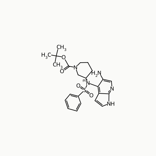 CC(C)(C)OC(=O)N1CCC[C@@H](N(c2c(N)cnc3[nH]ccc23)S(=O)(=O)c2ccccc2)C1